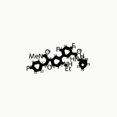 CCNc1cc2oc(-c3ccc(F)cc3)c(C(=O)NC)c2cc1-c1cc(C(=O)N[C@H]2CC3CC2C3)c(F)cc1F